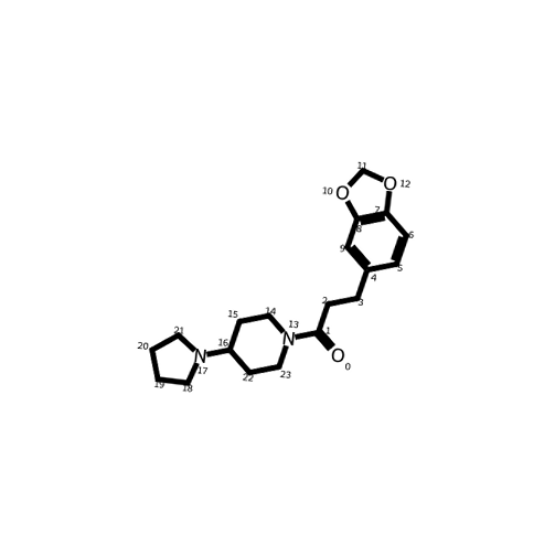 O=C(CCc1ccc2c(c1)OCO2)N1CCC(N2CCCC2)CC1